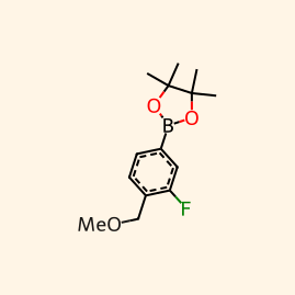 COCc1ccc(B2OC(C)(C)C(C)(C)O2)cc1F